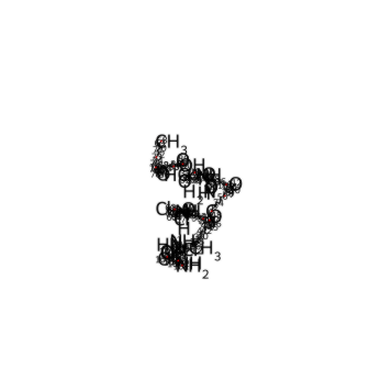 CCCCCCCC[C@H]1CCC(=O)[C@@H]1CCCCC=C(CON)C(=O)NNc1ccc(C(=O)O)cc1.CCCCCCCC[C@H]1CCC(=O)[C@@H]1CCCCC=CC(=O)NNc1cc(Cl)ccc1Cl.CCCCCCCC[C@H]1CCC(=O)[C@@H]1CCCCC=CC(=O)O.NNc1cc(Cl)ccc1Cl.NNc1ccc(C(=O)O)cc1